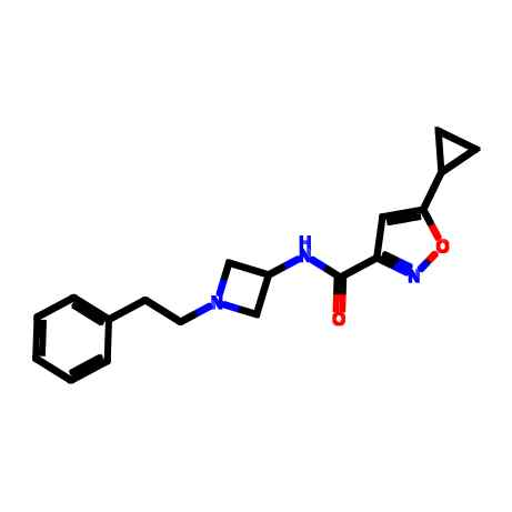 O=C(NC1CN(CCc2ccccc2)C1)c1cc(C2CC2)on1